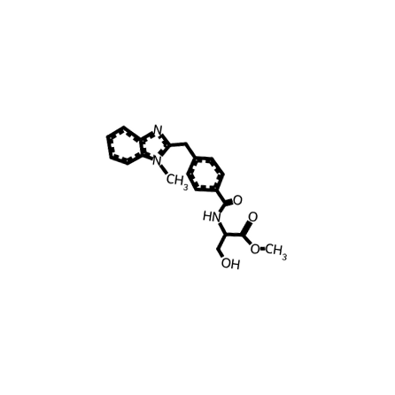 COC(=O)C(CO)NC(=O)c1ccc(Cc2nc3ccccc3n2C)cc1